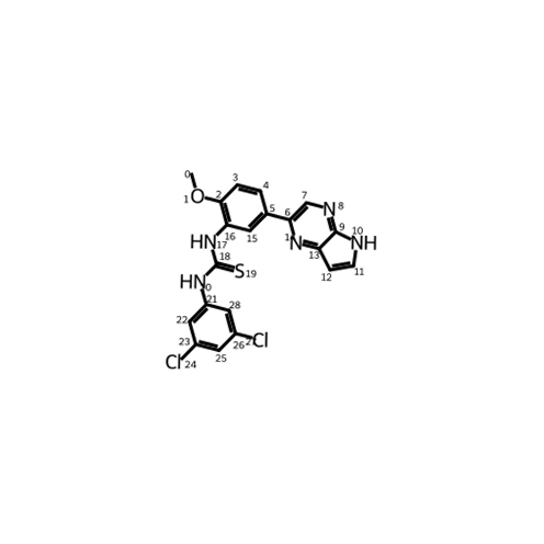 COc1ccc(-c2cnc3[nH]ccc3n2)cc1NC(=S)Nc1cc(Cl)cc(Cl)c1